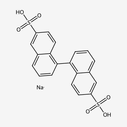 O=S(=O)(O)c1ccc2c(-c3cccc4cc(S(=O)(=O)O)ccc34)cccc2c1.[Na]